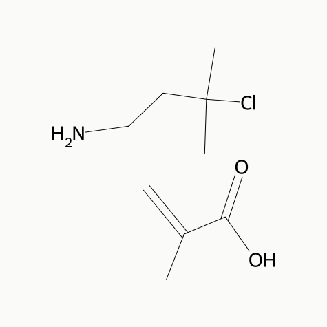 C=C(C)C(=O)O.CC(C)(Cl)CCN